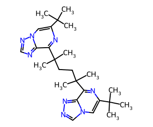 CC(C)(C)c1cn2cnnc2c(C(C)(C)CCC(C)(C)c2nc(C(C)(C)C)cn3ncnc23)n1